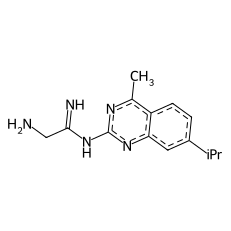 Cc1nc(NC(=N)CN)nc2cc(C(C)C)ccc12